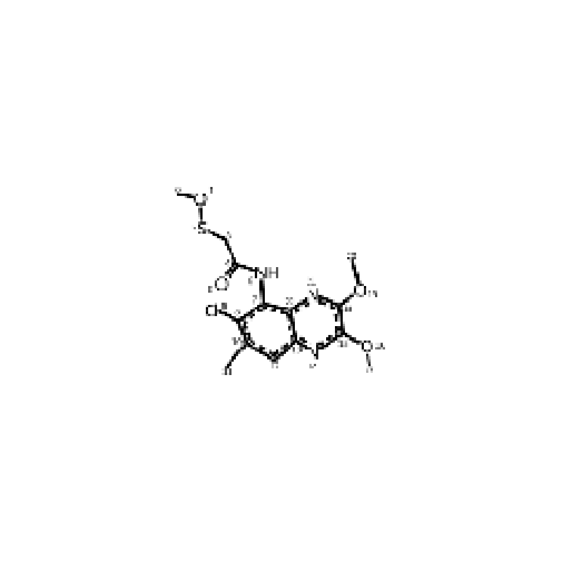 COSCC(=O)Nc1c(Cl)c(C)cc2nc(OC)c(OC)nc12